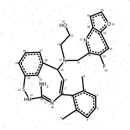 Cc1cccc(C)c1C1=C/C(N(CCO)Cc2nc3ccoc3cc2F)c2cccc(c2)SN\C(N)=N\1